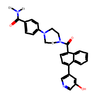 CCN(CC)C(=O)c1ccc(N2CCN(C(=O)c3ccc(-c4cncc(O)c4)c4ccccc34)CC2)cc1